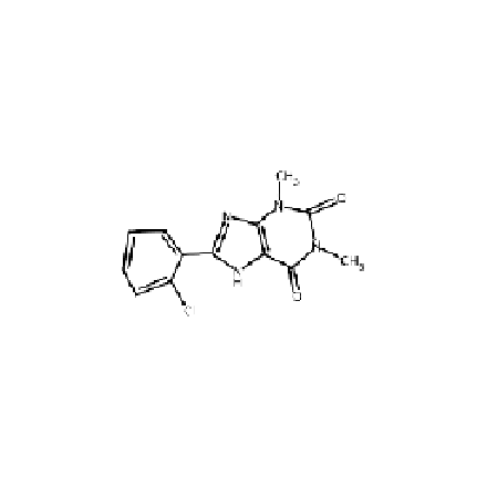 Cn1c(=O)c2[nH]c(-c3ccccc3Cl)nc2n(C)c1=O